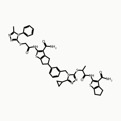 Cc1nnc(SCC(=O)Nc2sc3c(c2C(N)=O)CC(c2cccc(Cn4c(SC(C)C(=O)Nc5sc6c(c5C(N)=O)CCC6)nnc4C4CC4)c2)C3)n1-c1ccccc1